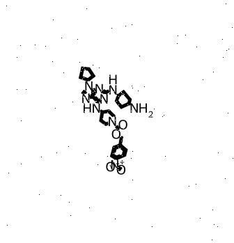 N[C@H]1CC[C@H](Nc2nc(NC3CCN(C(=O)OCc4ccc([N+](=O)[O-])cc4)CC3)c3ncn(C4CCCC4)c3n2)CC1